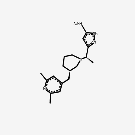 CC(=O)Nc1cc([C@@H](C)N2CCC[C@H](Cc3cc(C)nc(C)c3)C2)n[nH]1